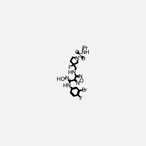 CC(C)NS(=O)(=O)N1CCC(F)(CNc2nonc2/C(=N/O)Nc2ccc(F)c(Br)c2)C1